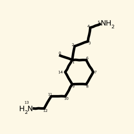 CC1(CCCN)CCCC(CCCN)C1